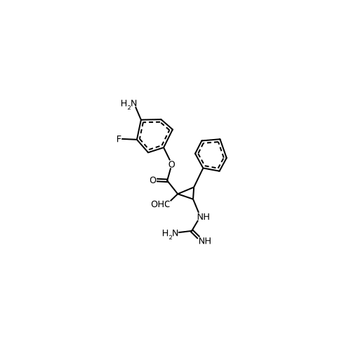 N=C(N)NC1C(c2ccccc2)C1(C=O)C(=O)Oc1ccc(N)c(F)c1